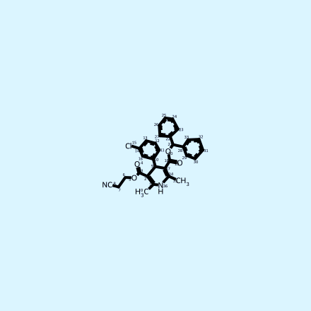 CC1=C(C(=O)OCCC#N)C(c2cccc(Cl)c2)C(C(=O)OC(c2ccccc2)c2ccccc2)=C(C)N1